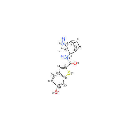 O=C(NC1C2CCC(CC2)[C@@]12CN2)c1cc2ccc(Br)cc2s1